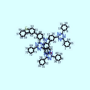 c1ccc(-c2nc(-c3ccccc3)nc(-c3ccc4c(c3)c3cc(-c5nc(-c6ccccc6)nc(-c6ccccc6)n5)ccc3n4-c3ccc(-c4ccc5sc6ccccc6c5c4)cc3-c3nc(-c4ccccc4)nc(-c4ccccc4)n3)n2)cc1